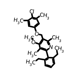 CCc1cccc(CC)c1-c1nc(C)c(COc2cc(C)c(Cl)c(C)c2)c(OC)c1C